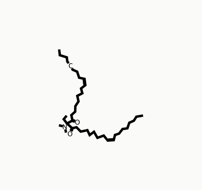 CCCCCCCC/C=C\CCCCCCCC(=O)C(CC)(C(=O)CCCCCCC/C=C\CCCCCCCC)N(C)C